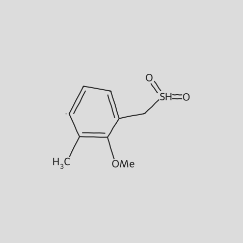 COc1c(C)[c]ccc1C[SH](=O)=O